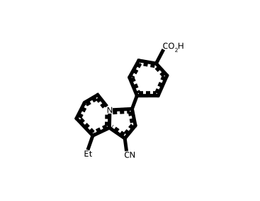 CCc1cccn2c(-c3ccc(C(=O)O)cc3)cc(C#N)c12